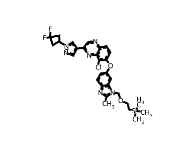 Cc1nc2ccc(Oc3ccc4ncc(-c5cnn(C6CC(F)(F)C6)c5)nc4c3Cl)cc2n1COCC[Si](C)(C)C